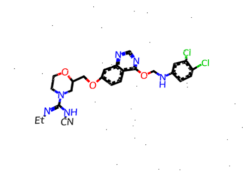 CCN=C(NC#N)N1CCOC(COc2ccc3c(OCNc4ccc(Cl)c(Cl)c4)ncnc3c2)C1